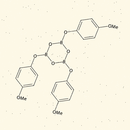 COc1ccc(OB2OB(Oc3ccc(OC)cc3)OB(Oc3ccc(OC)cc3)O2)cc1